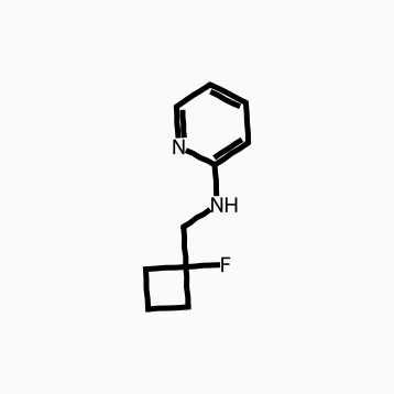 FC1(CNc2ccccn2)CCC1